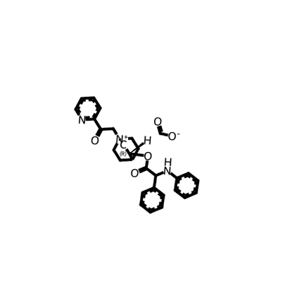 O=C(C[N+]12CCC(CC1)[C@@H](OC(=O)C(Nc1ccccc1)c1ccccc1)C2)c1ccccn1.O=C[O-]